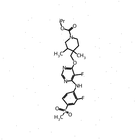 CC(C)OC(=O)N1CCC(C)(COc2ncnc(Nc3ccc(S(C)(=O)=O)cc3F)c2F)C(C)C1